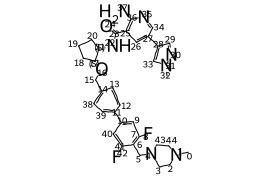 CN1CCN(Cc2c(F)cc(-c3ccc(CO[C@H]4CCC[C@@H]4NC(=O)c4cc(-c5cnn(C)c5)cnc4N)cc3)cc2F)CC1